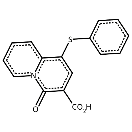 O=C(O)c1cc(Sc2ccccc2)c2ccccn2c1=O